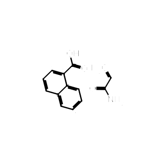 C=CC(N)=O.O=C(O)c1cccc2ccccc12